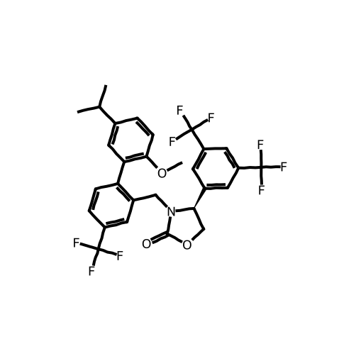 COc1ccc(C(C)C)cc1-c1ccc(C(F)(F)F)cc1CN1C(=O)OC[C@@H]1c1cc(C(F)(F)F)cc(C(F)(F)F)c1